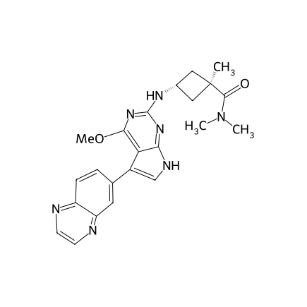 COc1nc(N[C@H]2C[C@](C)(C(=O)N(C)C)C2)nc2[nH]cc(-c3ccc4nccnc4c3)c12